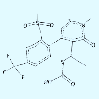 CC(SC(=O)O)c1c(-c2ccc(C(F)(F)F)cc2S(C)(=O)=O)cnn(C)c1=O